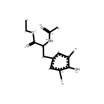 CCOC(=O)C(Cc1cc(I)c(O)c(I)c1)NC(C)=O